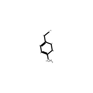 CC1=CC=C(CI)CC1